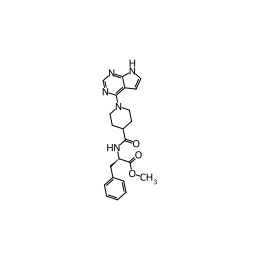 COC(=O)[C@@H](Cc1ccccc1)NC(=O)C1CCN(c2ncnc3[nH]ccc23)CC1